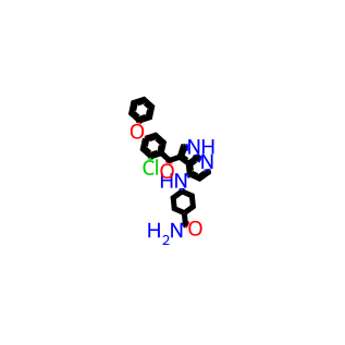 NC(=O)C1CCC(Nc2ccnc3[nH]cc(C(=O)c4ccc(Oc5ccccc5)cc4Cl)c23)CC1